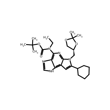 CCN(C(=O)OC(C)(C)C)c1nc2c(cc(C3CCCCC3)n2C[C@H]2COC(C)(C)O2)c2[nH]cnc12